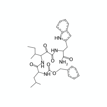 CCC(C)C(NC(=O)C(CC(C)C)NC(=O)OCc1ccccc1)C(=O)C(=O)NC(Cc1cc2ccccc2[nH]1)C(N)=O